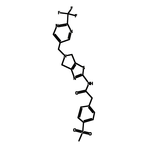 CS(=O)(=O)c1ccc(CC(=O)Nc2nc3c(s2)CN(Cc2cnc(C(F)(F)F)nc2)C3)cc1